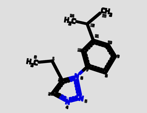 CCc1[c]nnn1-c1cccc(C(C)C)c1